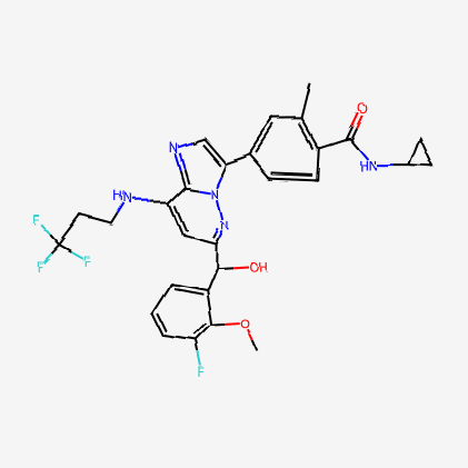 COc1c(F)cccc1C(O)c1cc(NCCC(F)(F)F)c2ncc(-c3ccc(C(=O)NC4CC4)c(C)c3)n2n1